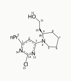 CCCc1cc(N2CCCC[C@@H]2CCO)nc(Cl)n1